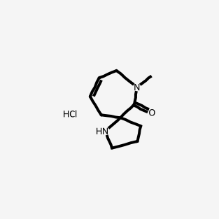 CN1CC=CCC2(CCCN2)C1=O.Cl